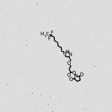 CC(F)(F)CCCCCCN1CC(COCCC(=O)ON2C(=O)CCC2=O)N=N1